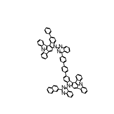 c1ccc(-c2ccc3c(c2)c2c4c5ccccc5n5c6ccccc6c(cc2n3-c2nc(-c3ccc(-c6ccc(-c7ccc8c(c7)c7c9c%10ccccc%10n%10c%11ccccc%11c(cc7n8-c7nc(-c8ccc%11ccccc%11c8)nc8ccccc78)c9%10)cc6)cc3)c3ccccc3n2)c45)cc1